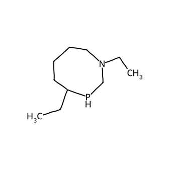 CCC1CCCCN(CC)CP1